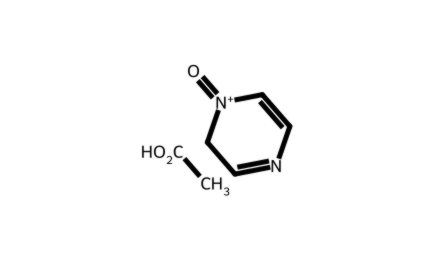 CC(=O)O.O=[N+]1C=CN=CC1